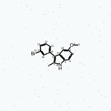 COc1ccc2[nH]c(C)c(-c3cccc(Br)c3)c2c1